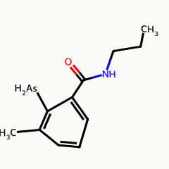 CCCNC(=O)c1cccc(C)c1[AsH2]